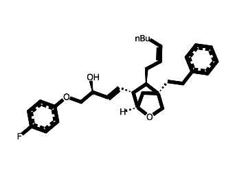 CCCC/C=C\C[C@@H]1[C@@H](/C=C/[C@H](O)COc2ccc(F)cc2)[C@H]2C[C@]1(CCc1ccccc1)CO2